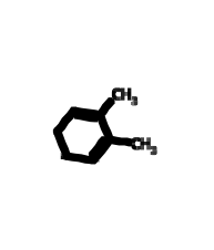 CC1=[C][C]CC=C1C